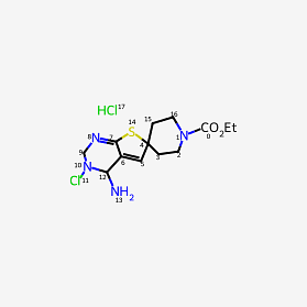 CCOC(=O)N1CCC2(C=C3C(=NCN(Cl)C3N)S2)CC1.Cl